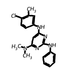 Cc1cc(Nc2cc(N(C)C)nc(Nc3ccccc3)n2)ccc1Cl